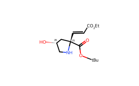 CCOC(=O)C=C[C@]1(C(=O)OC(C)(C)C)C[C@@H](O)CN1